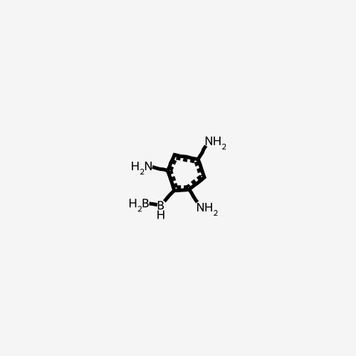 BBc1c(N)cc(N)cc1N